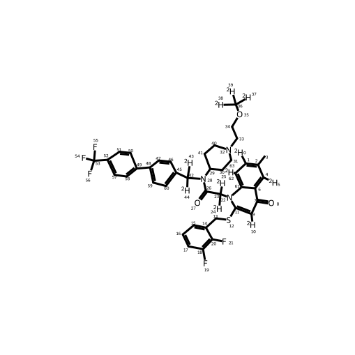 [2H]c1c(C)c([2H])c2c(=O)c([2H])c(SCc3cccc(F)c3F)n(C([2H])([2H])C(=O)N(C3CCN(CCOC([2H])([2H])[2H])CC3)C([2H])([2H])c3ccc(-c4ccc(C(F)(F)F)cc4)cc3)c2c1[2H]